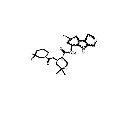 CC1(C)CN(CC(=O)N2CCCC(F)(F)C2)[C@H](C(=O)Nc2cc(Cl)cc3c2[nH]c2cnccc23)CO1